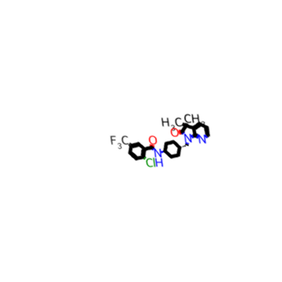 CC1(C)C(=O)N(C[C@H]2CC[C@H](NC(=O)c3cc(C(F)(F)F)ccc3Cl)CC2)c2ncccc21